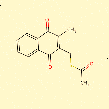 CC(=O)SCC1=C(C)C(=O)c2ccccc2C1=O